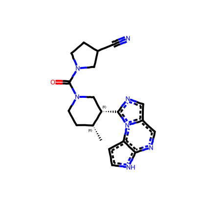 C[C@@H]1CCN(C(=O)N2CCC(C#N)C2)C[C@@H]1c1ncc2cnc3[nH]ccc3n12